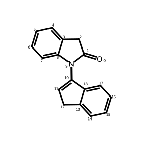 O=C1Cc2ccccc2N1C1=CCc2ccccc21